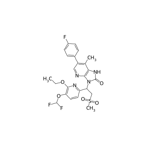 CCOc1nc(C(CS(C)(=O)=O)n2c(=O)[nH]c3c(C)c(-c4ccc(F)cc4)cnc32)ccc1OC(F)F